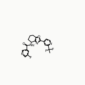 CC(F)(F)c1cc(-c2nc3c(o2)CCC[C@@H]3NC(=O)c2cncc(F)c2)ccn1